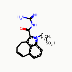 CS(=O)(=O)O.Cn1c(C(=O)NC(=N)N)c2c3c(cccc31)C=CCC2